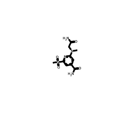 CN(CC(N)=O)c1cc(C(N)=O)cc(S(C)(=O)=O)n1